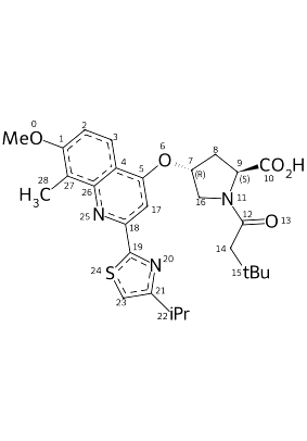 COc1ccc2c(O[C@@H]3C[C@@H](C(=O)O)N(C(=O)CC(C)(C)C)C3)cc(-c3nc(C(C)C)cs3)nc2c1C